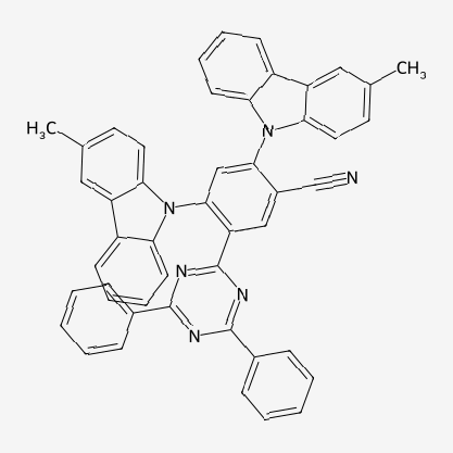 Cc1ccc2c(c1)c1ccccc1n2-c1cc(-n2c3ccccc3c3cc(C)ccc32)c(-c2nc(-c3ccccc3)nc(-c3ccccc3)n2)cc1C#N